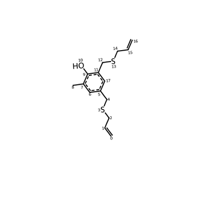 C=CCSCc1cc(C)c(O)c(CSCC=C)c1